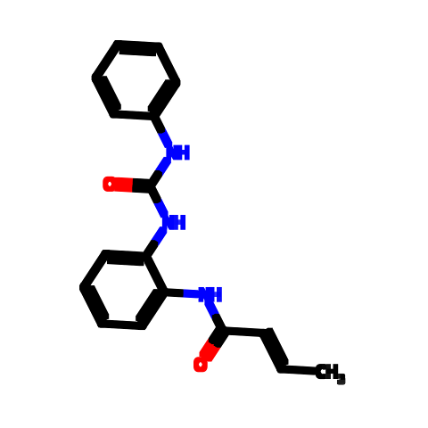 C/C=C/C(=O)Nc1ccccc1NC(=O)Nc1ccccc1